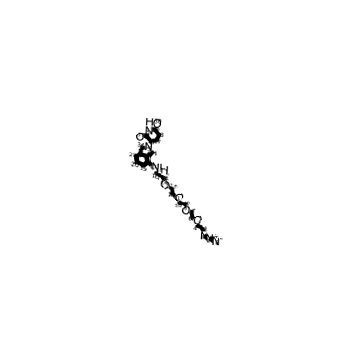 [N-]=[N+]=NCCOCCOCCOCCOCCNc1cccc2c1CN(C1CCC(=O)NC1=O)C2